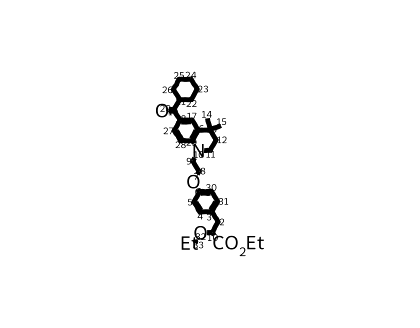 CCOC(=O)C(Cc1ccc(OCCN2CCC(C)(C)c3cc(C(=O)C4CCCCC4)ccc32)cc1)OCC